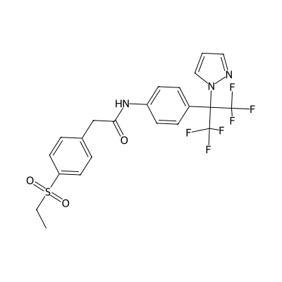 CCS(=O)(=O)c1ccc(CC(=O)Nc2ccc(C(n3cccn3)(C(F)(F)F)C(F)(F)F)cc2)cc1